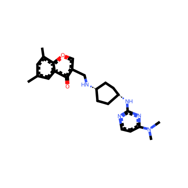 Cc1cc(C)c2occ(CN[C@H]3CC[C@@H](Nc4nccc(N(C)C)n4)CC3)c(=O)c2c1